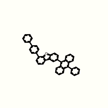 c1ccc(-c2ccc(-c3cccc4c3oc3ccc(-c5c6ccccc6c(-c6ccccc6)c6ccccc56)cc34)cc2)cc1